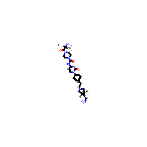 CC(C)(N)C(=O)N1CCN(C(=O)Nc2ccn(-c3ccc(CCN4C[C@@H]5[C@@H](CN)[C@@H]5C4)cc3)c(=O)n2)CC1